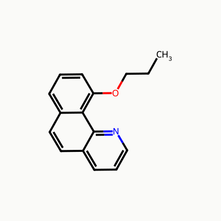 CCCOc1cccc2ccc3cccnc3c12